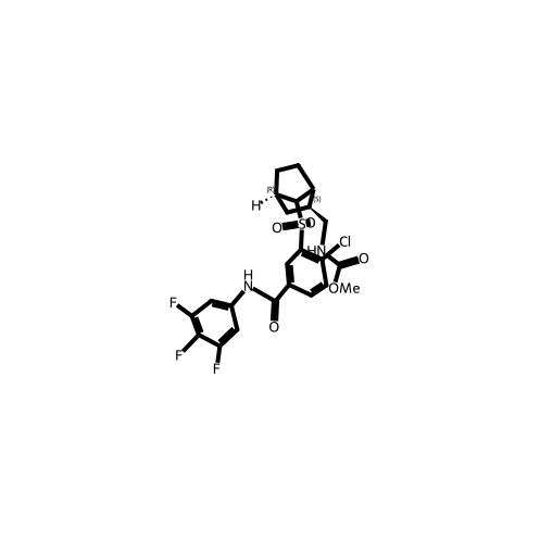 COC(=O)NC[C@H]1C[C@H]2CCC1C2S(=O)(=O)c1cc(C(=O)Nc2cc(F)c(F)c(F)c2)ccc1Cl